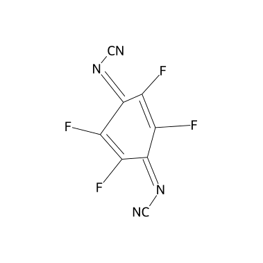 N#CN=C1C(F)=C(F)C(=NC#N)C(F)=C1F